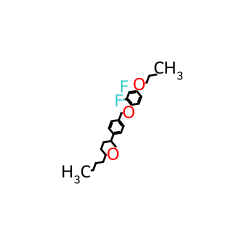 CCCCOc1ccc(OCc2ccc(C3CCC(CCCC)OC3)cc2)c(F)c1F